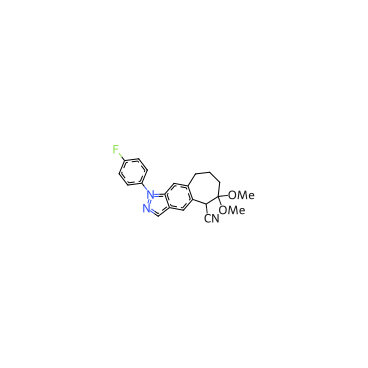 COC1(OC)CCCc2cc3c(cnn3-c3ccc(F)cc3)cc2C1C#N